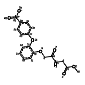 COC(=O)CNC(=O)COc1ccccc1Oc1ccc([N+](=O)[O-])cc1